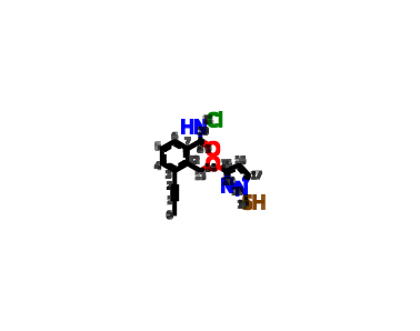 CC#Cc1cccc(C(=O)NCl)c1COc1ccn(S)n1